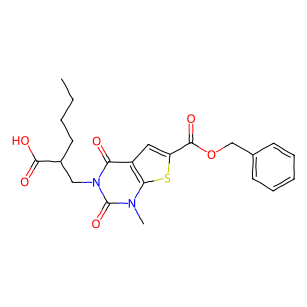 CCCCC(Cn1c(=O)c2cc(C(=O)OCc3ccccc3)sc2n(C)c1=O)C(=O)O